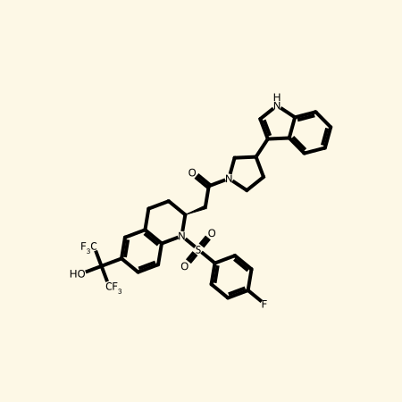 O=C(C[C@@H]1CCc2cc(C(O)(C(F)(F)F)C(F)(F)F)ccc2N1S(=O)(=O)c1ccc(F)cc1)N1CCC(c2c[nH]c3ccccc23)C1